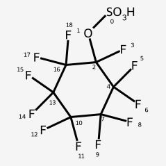 O=S(=O)(O)OC1(F)C(F)(F)C(F)(F)C(F)(F)C(F)(F)C1(F)F